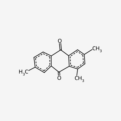 Cc1ccc2c(c1)C(=O)c1c(C)cc(C)cc1C2=O